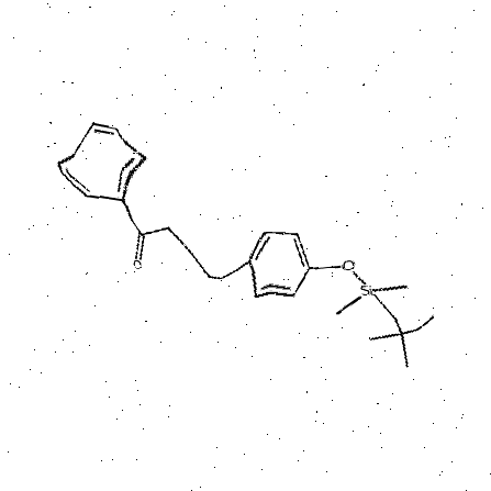 CC(C)(C)[Si](C)(C)Oc1ccc(CCC(=O)c2ccccc2)cc1